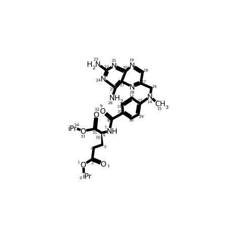 CC(C)OC(=O)CC[C@H](NC(=O)c1ccc(N(C)Cc2cnc3nc(N)nc(N)c3n2)cc1)C(=O)OC(C)C